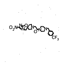 O=C(CN1CCC2(CC1)Cn1cc([N+](=O)[O-])nc1O2)N1CCN(Cc2ccc(C(F)(F)F)cc2)CC1